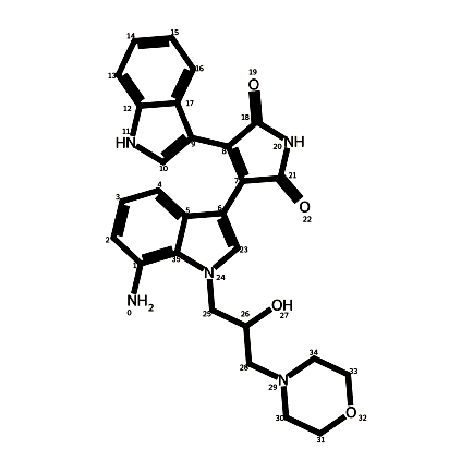 Nc1cccc2c(C3=C(c4c[nH]c5ccccc45)C(=O)NC3=O)cn(CC(O)CN3CCOCC3)c12